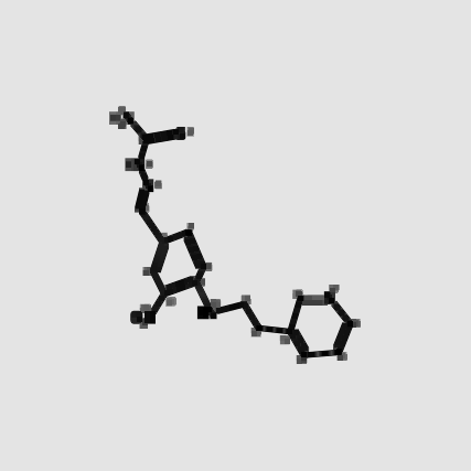 NC(=S)N/N=C/c1ccc(NCCc2cccnc2)c([N+](=O)[O-])c1